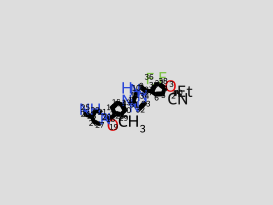 CCC(C#N)Oc1ccc(-c2cnc3c(Nc4ccc(C(=O)N5CCC(CN)CC5)c(C)c4)nccn23)c(F)c1F